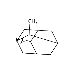 CC1C2[CH]C3CC1CC(C2)C3C